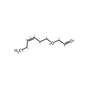 CC/C=C\CCOCC=O